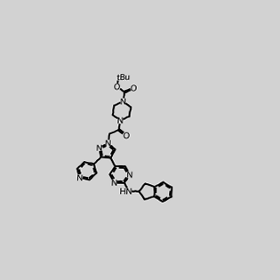 CC(C)(C)OC(=O)N1CCN(C(=O)Cn2cc(-c3cnc(NC4Cc5ccccc5C4)nc3)c(-c3ccncc3)n2)CC1